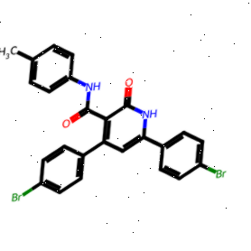 Cc1ccc(NC(=O)c2c(-c3ccc(Br)cc3)cc(-c3ccc(Br)cc3)[nH]c2=O)cc1